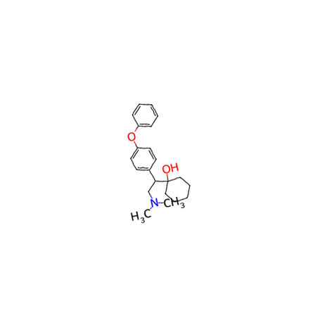 CN(C)CC(c1ccc(Oc2ccccc2)cc1)C1(O)CCCCC1